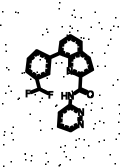 O=C(Nc1cccnn1)c1ccc2cccc(-c3cccc(C(F)F)c3)c2n1